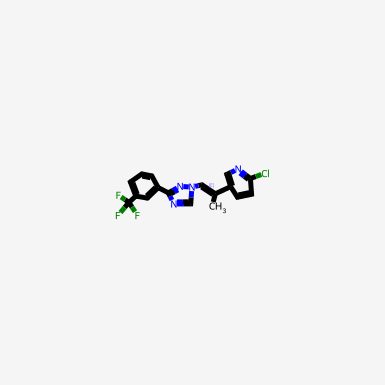 C/C(=C\n1cnc(-c2cccc(C(F)(F)F)c2)n1)c1ccc(Cl)nc1